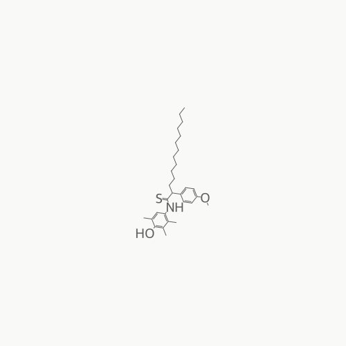 CCCCCCCCCCCCC(C(=S)Nc1cc(C)c(O)c(C)c1C)c1ccc(OC)cc1